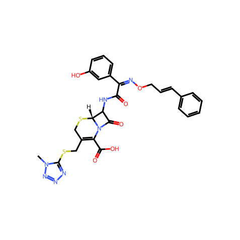 Cn1nnnc1SCC1=C(C(=O)O)N2C(=O)C(NC(=O)/C(=N\OC/C=C/c3ccccc3)c3cccc(O)c3)[C@H]2SC1